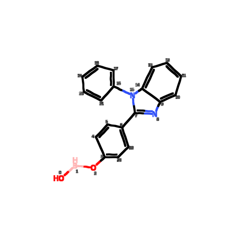 OBOc1ccc(-c2nc3ccccc3n2-c2ccccc2)cc1